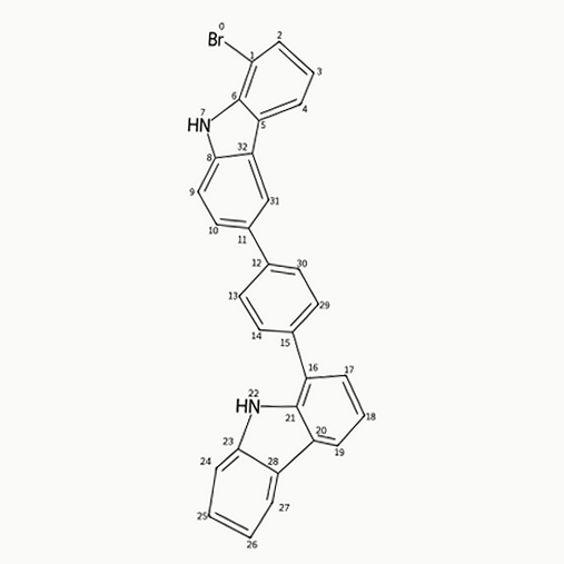 Brc1cccc2c1[nH]c1ccc(-c3ccc(-c4cccc5c4[nH]c4ccccc45)cc3)cc12